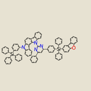 c1ccc(-c2cc(-c3ccc([Si](c4ccccc4)(c4ccccc4)c4ccc5oc6ccccc6c5c4)cc3)nc(-n3c4ccccc4c4ccc5c(c6ccccc6n5-c5cccc([Si](c6ccccc6)(c6ccccc6)c6ccccc6)c5)c43)n2)cc1